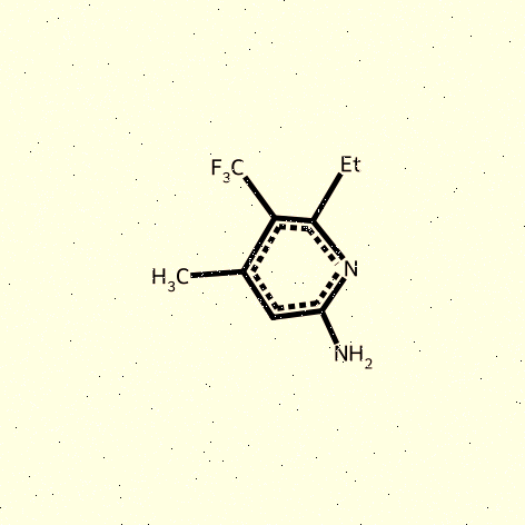 CCc1nc(N)cc(C)c1C(F)(F)F